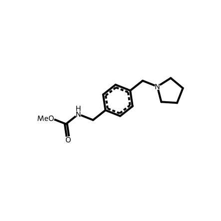 COC(=O)NCc1ccc(CN2CCCC2)cc1